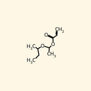 C=CC(=O)OC(C)OC(C)CC